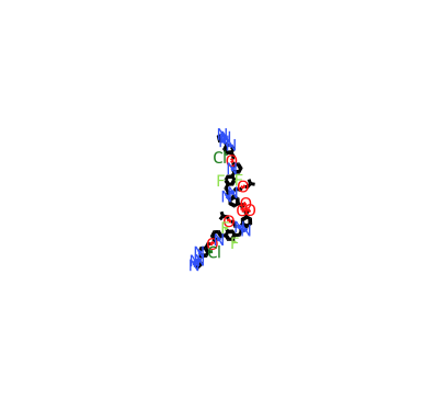 CC(C)COCCn1c(Cc2cc(F)c(-c3cccc(OCc4cnc(-n5ccnn5)cc4Cl)n3)cc2F)nc2ccc(C(=O)OC(=O)c3ccc4nc(Cc5cc(F)c(-c6cccc(OCc7cnc(-n8ccnn8)cc7Cl)n6)cc5F)n(CCOCC(C)C)c4c3)cc21